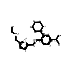 CCOCc1ccc(CNc2ccc(C(C)C)cc2C2CCCCC2)o1